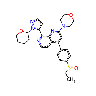 CC[S+]([O-])c1ccc(-c2cc(N3CCOCC3)nc3c(-c4ccnn4C4CCCCO4)nccc23)cc1